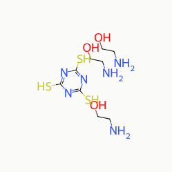 NCCO.NCCO.NCCO.Sc1nc(S)nc(S)n1